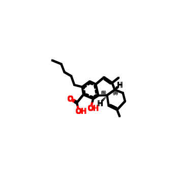 CCCCCc1cc2c(c(O)c1C(=O)O)[C@@H]1C=C(C)CC[C@H]1C(C)=C2